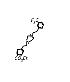 CCOC(=O)c1ccc(CCN2CCN(CCc3cccc(C(F)(F)F)c3)CC2)cc1